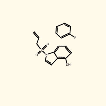 C=CCS(=O)(=O)n1ccc2c(O)cccc21.Fc1ccccc1